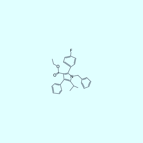 CCOC(=O)c1c(-c2ccccc2)c(C(C)C)n(Cc2ccccc2)c1-c1ccc(F)cc1